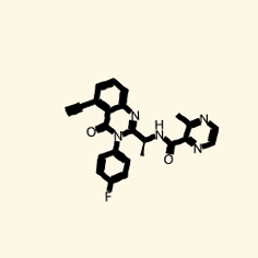 C#Cc1cccc2nc([C@H](C)NC(=O)c3nccnc3C)n(-c3ccc(F)cc3)c(=O)c12